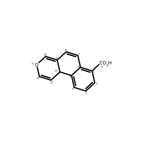 O=C(O)c1cccc2c1C=CC1=COC=CC12